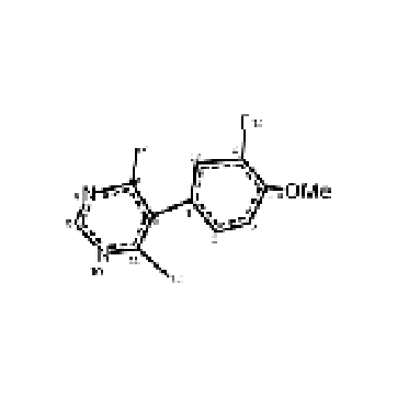 COc1ccc(-c2c(C)ncnc2C)cc1F